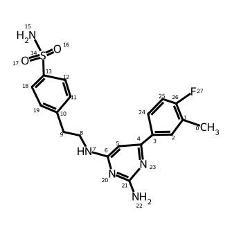 Cc1cc(-c2cc(NCCc3ccc(S(N)(=O)=O)cc3)nc(N)n2)ccc1F